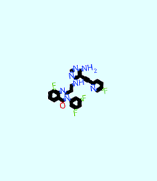 Nc1ncnc(NCCc2nc3c(F)cccc3c(=O)n2-c2cc(F)cc(F)c2)c1C#Cc1ccc(F)cn1